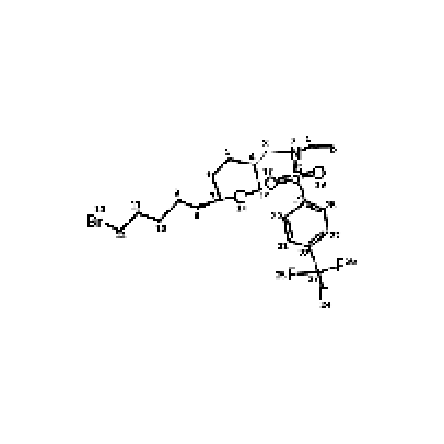 CCN(C[C@H]1CC[C@H](CCCCCBr)CC1)S(=O)(=O)c1ccc(C(F)(F)F)cc1